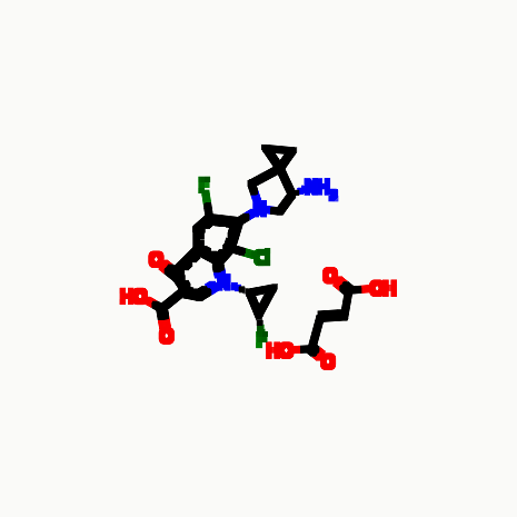 N[C@@H]1CN(c2c(F)cc3c(=O)c(C(=O)O)cn([C@@H]4C[C@@H]4F)c3c2Cl)CC12CC2.O=C(O)/C=C/C(=O)O